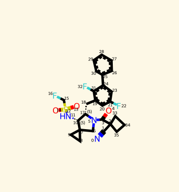 N#CC1(C(=O)N2CC3(CC3)[C@H](NS(=O)(=O)CF)[C@@H]2Cc2cc(F)cc(-c3ccccc3)c2F)CCC1